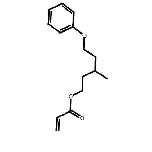 C=CC(=O)OCCC(C)CCOc1ccccc1